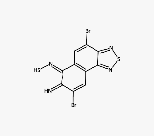 N=C1C(Br)=Cc2c(cc(Br)c3nsnc23)/C1=N/S